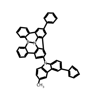 Cc1ccc2c(c1)c1cc(-c3ccccc3)ccc1n2-c1cc2c3c(c1)c1cc(-c4ccccc4)cc4c1n3B(c1ccccc1-4)c1ccccc1-2